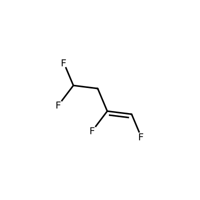 FC=C(F)CC(F)F